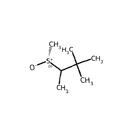 CC([S@@+](C)[O-])C(C)(C)C